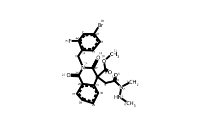 CNN(C)C(=O)CC1(C(=O)OC)C(=O)N(Cc2ccc(Br)cc2F)C(=O)c2ccccc21